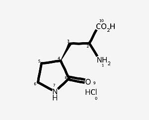 Cl.NC(C[C@@H]1CCNC1=O)C(=O)O